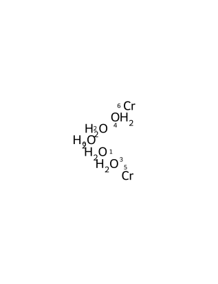 O.O.O.O.O.[Cr].[Cr]